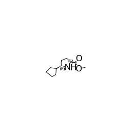 COC(=O)[C@@H]1CC[C@H](C2CCCC2)N1